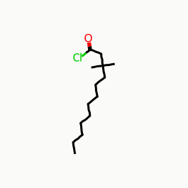 CCCCCCCCCC(C)(C)CC(=O)Cl